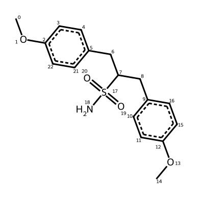 COc1ccc(CC(Cc2ccc(OC)cc2)S(N)(=O)=O)cc1